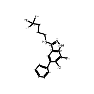 Fc1c(Cl)c(-c2ccccc2)cc2c(NCCCC(F)(F)F)n[nH]c12